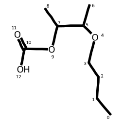 CCCCOC(C)C(C)OC(=O)O